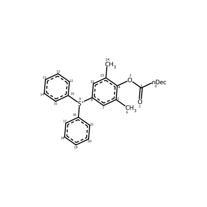 CCCCCCCCCCC(=O)Oc1c(C)cc([S+](c2ccccc2)c2ccccc2)cc1C